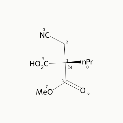 CCC[C@](CC#N)(C(=O)O)C(=O)OC